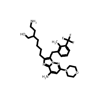 Cc1c(Cc2c(CCCCC(CO)CCN)nc3c(N)cc(N4CCOCC4)nn23)cccc1C(F)(F)F